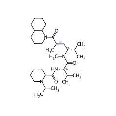 C/C(=C\[C@H](C(C)C)N(C)C(=O)[C@@H](NC(=O)C1CCCCN1C(C)C)C(C)C)C(=O)N1CCCC2CCCCC21